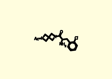 CC(=O)N1CC2(C1)CN(C(=O)C(N)Cc1ccccc1Cl)C2